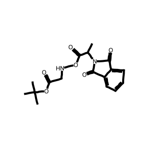 CC(C(=O)ONCC(=O)OC(C)(C)C)N1C(=O)c2ccccc2C1=O